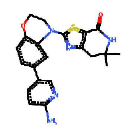 CC1(C)Cc2nc(N3CCOc4ccc(-c5ccc(N)nc5)cc43)sc2C(=O)N1